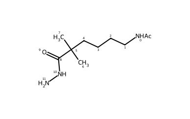 CC(=O)NCCCCC(C)(C)C(=O)NN